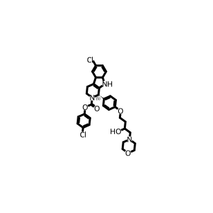 O=C(Oc1ccc(Cl)cc1)N1CCC2=C(NC3C=CC(Cl)=CC23)[C@@H]1c1ccc(OCCC(O)CN2CCOCC2)cc1